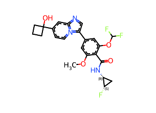 COc1cc(-c2cnc3cc(C4(O)CCC4)ccn23)cc(OC(F)F)c1C(=O)N[C@@H]1C[C@@H]1F